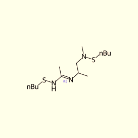 CCCCSN/C(C)=N/C(C)CN(C)SCCCC